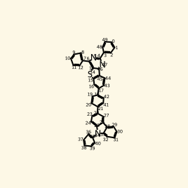 c1ccc(-c2nc(-c3ccccc3)c3sc4cc(-c5ccc(-c6ccc7c(c6)c6ccccc6n7-c6ccccc6)cc5)ccc4c3n2)cc1